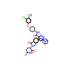 N#Cc1ccc(O[C@H]2CC[C@H](NC(=O)c3ccc(N4C5CC4CN(Cc4ccc6c(c4)CN(C4CCC(=O)NC4=O)C6=O)C5)nn3)CC2)cc1Cl